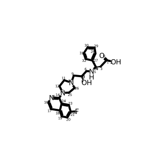 O=C(O)C[C@@H](NC[C@@H](O)CN1CCN(c2nccc3ccc(F)cc23)CC1)c1ccccc1